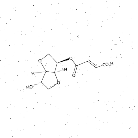 O=C(O)C=CC(=O)O[C@@H]1CO[C@H]2[C@@H]1OC[C@@H]2O